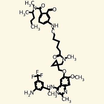 CCCC(C)N(C)C(=O)C1=CCC=C(NCCCCCCC(=O)N(C)CC2(COc3cc4c(N[C@H](C)c5cc(N)cc(C(F)(F)F)c5)nc(C)nc4cc3OC)CC2)C=C1C=O